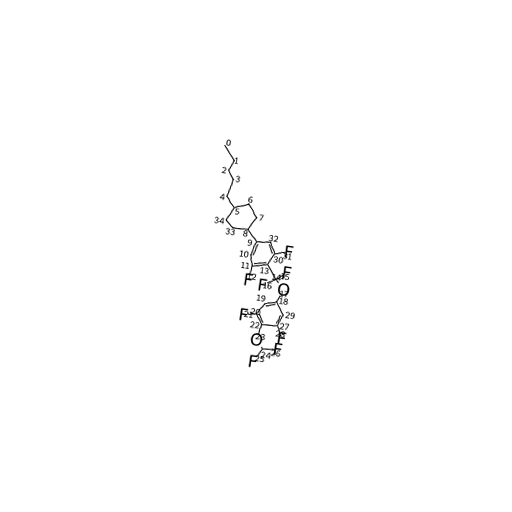 CCCCCC1CCC(c2cc(F)c(C(F)(F)Oc3cc(F)c(OC(F)F)c(F)c3)c(F)c2)CC1